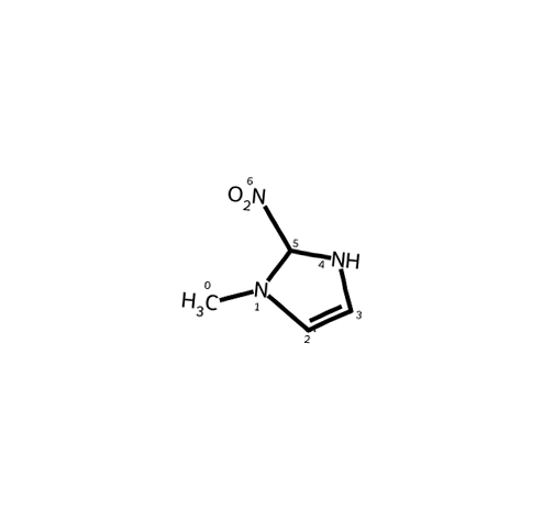 CN1[C]=CNC1[N+](=O)[O-]